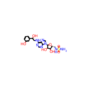 NS(=O)(=O)NC[C@H]1O[C@@H](n2cnc3c(NC[C@H](O)c4cccc(O)c4)ncnc32)C(O)C1O